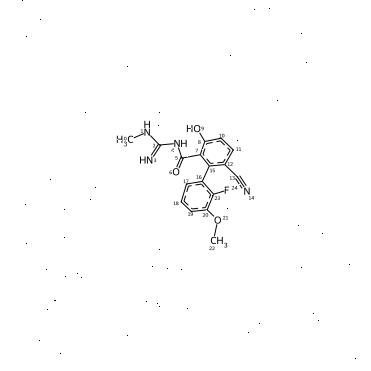 CNC(=N)NC(=O)c1c(O)ccc(C#N)c1-c1cccc(OC)c1F